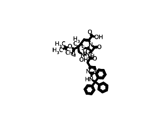 CC(C)(C)OC(=O)C1(C)CN(O)N(C(=O)Cc2csc(NC(c3ccccc3)(c3ccccc3)c3ccccc3)n2)[C@@H]2C(=O)N3C(C(=O)O)=CC1S[C@H]23